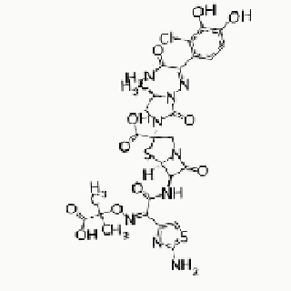 C[C@@H]1CN([C@]2(C(=O)O)CN3C(=O)[C@@H](NC(=O)/C(=N\OC(C)(C)C(=O)O)c4csc(N)n4)[C@H]3S2)C(=O)N1/N=C(\C(N)=O)c1ccc(O)c(O)c1Cl